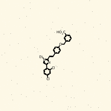 CCn1cc(-c2ccc(Cl)cc2Cl)nc1C=Cc1ccc(OCc2cccc(C(=O)O)c2)cc1